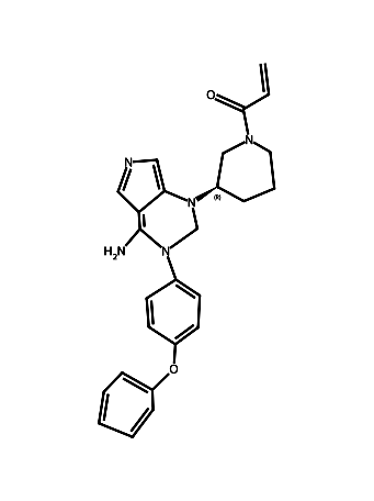 C=CC(=O)N1CCC[C@@H](N2CN(c3ccc(Oc4ccccc4)cc3)C(N)=C3C=NC=C32)C1